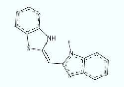 Cn1c(C=C2Nc3ccccc3S2)nc2ccccc21